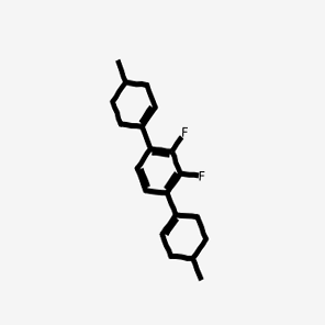 CC1CC=C(c2ccc(C3=CCC(C)CC3)c(F)c2F)CC1